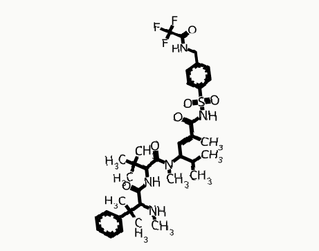 CNC(C(=O)NC(C(=O)N(C)C(/C=C(\C)C(=O)NS(=O)(=O)c1ccc(CNC(=O)C(F)(F)F)cc1)C(C)C)C(C)(C)C)C(C)(C)c1ccccc1